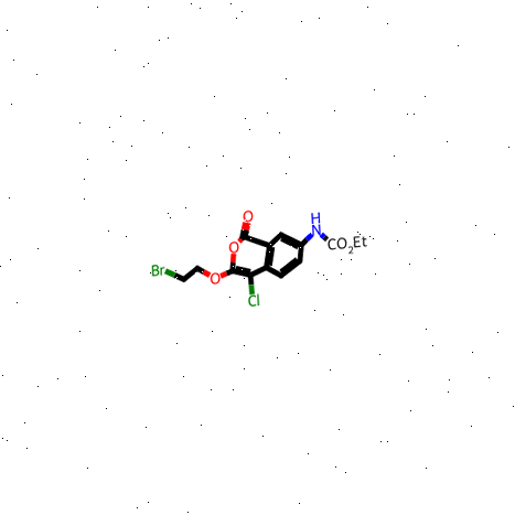 CCOC(=O)Nc1ccc2c(Cl)c(OCCBr)oc(=O)c2c1